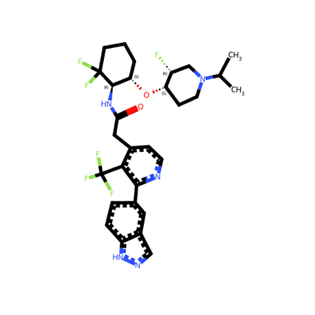 CC(C)N1CC[C@H](O[C@H]2CCCC(F)(F)[C@@H]2NC(=O)Cc2ccnc(-c3ccc4[nH]ncc4c3)c2C(F)(F)F)[C@H](F)C1